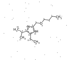 CCCCOCc1nc(C(C)C)c(SC)[nH]1